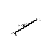 C=CC.CCCCC=CC=CC=CCCCCCCCC(=O)O